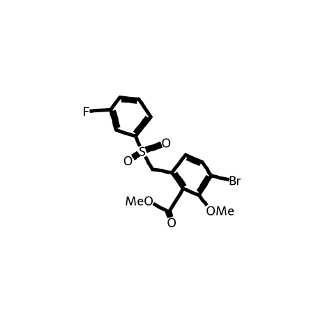 COC(=O)c1c(CS(=O)(=O)c2cccc(F)c2)ccc(Br)c1OC